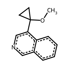 COC1(c2cncc3ccccc23)CC1